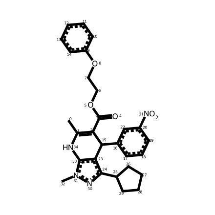 CC1=C(C(=O)OCCOc2ccccc2)C(c2cccc([N+](=O)[O-])c2)c2c(C3CCCC3)nn(C)c2N1